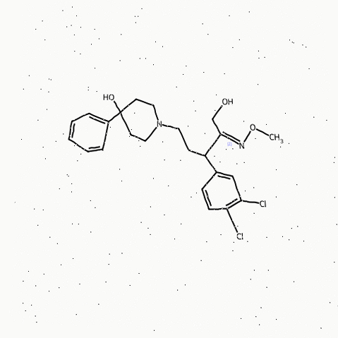 CO/N=C(\CO)C(CCN1CCC(O)(c2ccccc2)CC1)c1ccc(Cl)c(Cl)c1